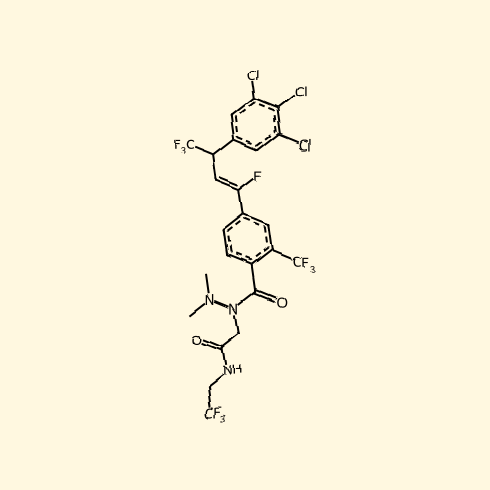 CN(C)N(CC(=O)NCC(F)(F)F)C(=O)c1ccc(/C(F)=C/C(c2cc(Cl)c(Cl)c(Cl)c2)C(F)(F)F)cc1C(F)(F)F